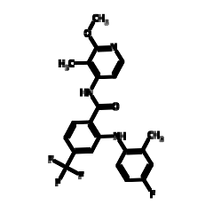 COc1nccc(NC(=O)c2ccc(C(F)(F)F)cc2Nc2ccc(F)cc2C)c1C